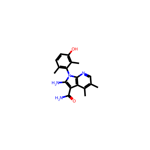 Cc1ccc(O)c(C)c1-n1c(N)c(C(N)=O)c2c(C)c(C)cnc21